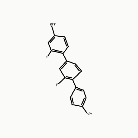 CCCc1ccc(-c2ccc(-c3ccc(CCC)cc3F)cc2F)cc1